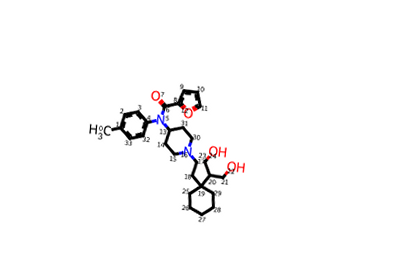 Cc1ccc(N(C(=O)c2ccco2)C2CCN(CCC3(C(CO)CO)CCCCC3)CC2)cc1